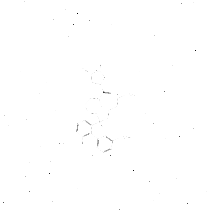 COCCCC[C@](O)(c1cccc(F)c1-c1cccc(SC)c1)[C@H]1CN(C(=O)[C@H]2C[C@@H](N)[C@@H](O)C2)CCO1